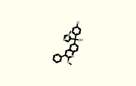 COc1nc2ccc(C(O)(c3ccc(Cl)cc3)c3cncn3C)cc2cc1-c1ccccc1